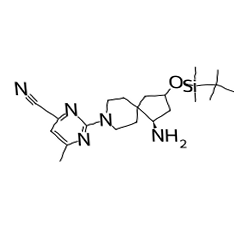 Cc1cc(C#N)nc(N2CCC3(CC2)CC(O[Si](C)(C)C(C)(C)C)C[C@H]3N)n1